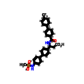 CS(=O)(=O)Nc1ccc(-c2ccc(C(CC(=O)O)NC(=O)c3ccc(-c4ccc(C(F)(F)F)cc4)cc3)cc2)cc1